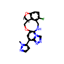 Cn1nccc1-c1cc2c(n3cnnc13)NCc1c(F)ccc3c1[C@H](CO3)CO2